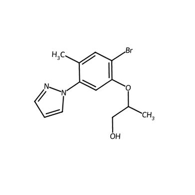 Cc1cc(Br)c(OC(C)CO)cc1-n1cccn1